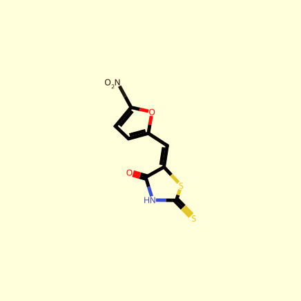 O=C1NC(=S)S/C1=C/c1ccc([N+](=O)[O-])o1